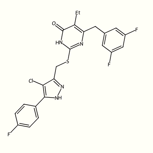 CCc1c(Cc2cc(F)cc(F)c2)nc(SCc2n[nH]c(-c3ccc(F)cc3)c2Cl)[nH]c1=O